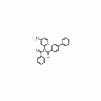 Nc1ccnc(N(C(=O)c2ccccc2)C(=O)c2ccc(-c3ccccc3)cc2)c1